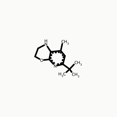 Cc1cc(C(C)(C)C)nc2c1NCCO2